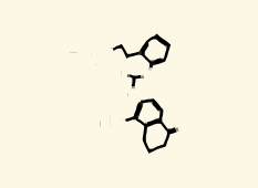 CCCCC(Oc1ccccc1CCC(=O)O)Oc1ccc2c(c1CCC)CCCC2=O